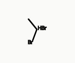 Br.CCBr